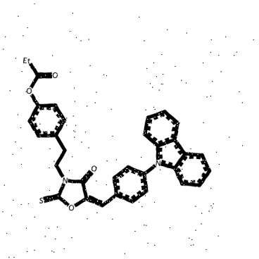 CCC(=O)Oc1ccc(CCN2C(=O)/C(=C\c3ccc(-n4c5ccccc5c5ccccc54)cc3)OC2=S)cc1